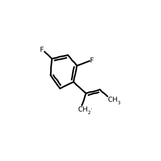 [CH2]C(=CC)c1ccc(F)cc1F